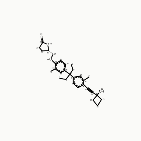 CCC(CC)(c1ccc(C#CC2(O)CCC2)c(C)c1)c1ccc(OC[C@@H]2CCC(=O)O2)c(C)c1